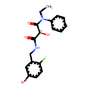 CCN(C(=O)[C@@H](O)C(=O)NCc1cc(Br)ccc1F)c1ccccc1